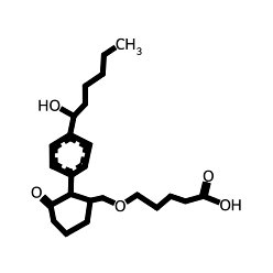 CCCCCC(O)c1ccc(C2C(=O)CCCC2COCCCCC(=O)O)cc1